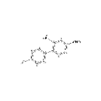 CCCc1cc(C=O)ccc1-c1ccc(F)cc1